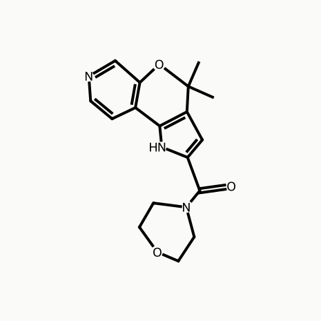 CC1(C)Oc2cnccc2-c2[nH]c(C(=O)N3CCOCC3)cc21